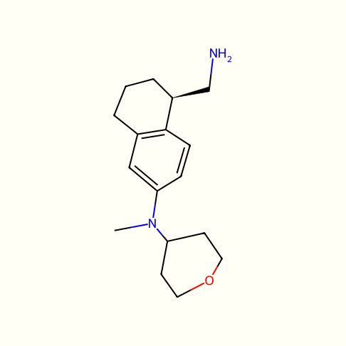 CN(c1ccc2c(c1)CCC[C@H]2CN)C1CCOCC1